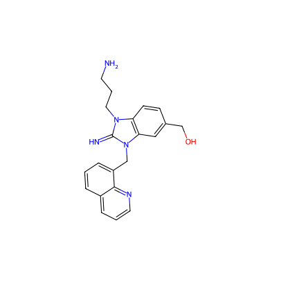 N=c1n(CCCN)c2ccc(CO)cc2n1Cc1cccc2cccnc12